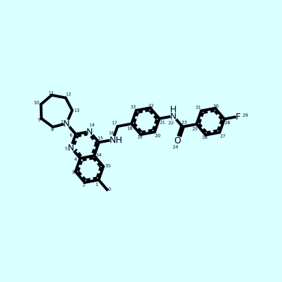 Cc1ccc2nc(N3CCCCCC3)nc(NCc3ccc(NC(=O)c4ccc(F)cc4)cc3)c2c1